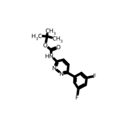 CC(C)(C)OC(=O)Nc1ccc(-c2cc(F)cc(F)c2)nn1